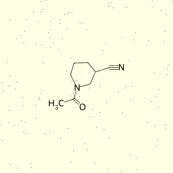 CC(=O)N1CCCC(C#N)C1